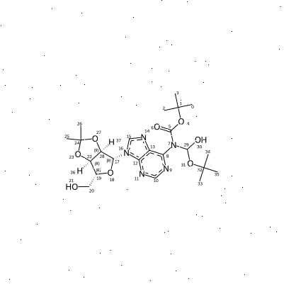 CC(C)(C)OC(=O)N(c1ncnc2c1ncn2[C@@H]1O[C@H](CO)[C@H]2OC(C)(C)O[C@H]21)C(O)OC(C)(C)C